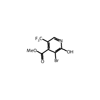 COC(=O)c1c(C(F)(F)F)cnc(O)c1Br